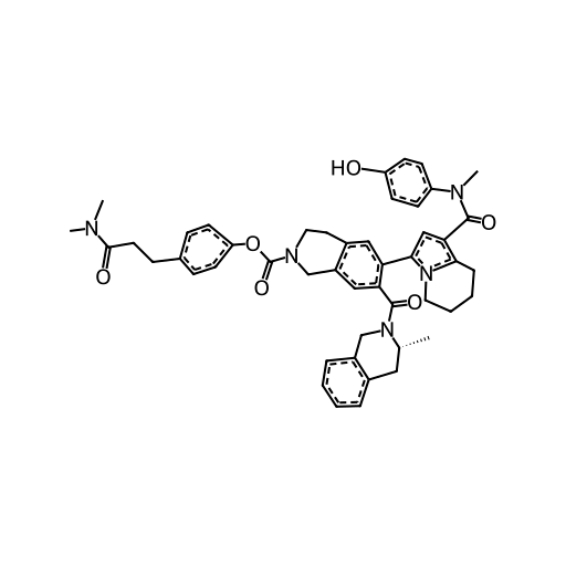 C[C@@H]1Cc2ccccc2CN1C(=O)c1cc2c(cc1-c1cc(C(=O)N(C)c3ccc(O)cc3)c3n1CCCC3)CCN(C(=O)Oc1ccc(CCC(=O)N(C)C)cc1)C2